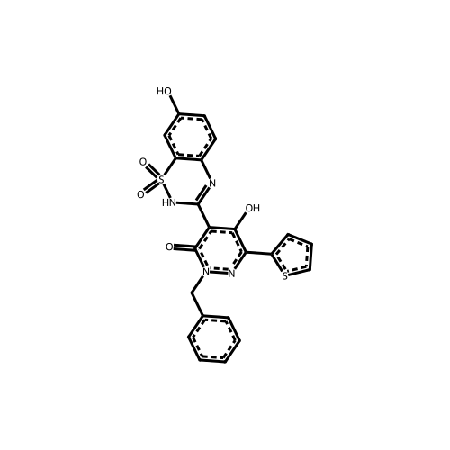 O=c1c(C2=Nc3ccc(O)cc3S(=O)(=O)N2)c(O)c(-c2cccs2)nn1Cc1ccccc1